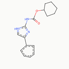 O=C(Nc1nc(-c2ccccc2)c[nH]1)OC1CCCCC1